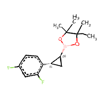 CC1(C)OB([C@H]2C[C@@H]2c2ccc(F)cc2F)OC1(C)C